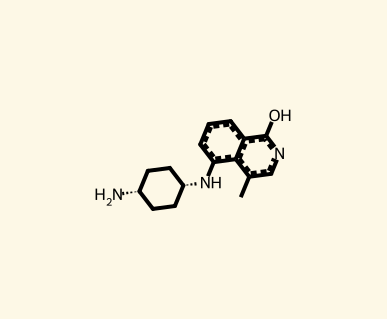 Cc1cnc(O)c2cccc(N[C@H]3CC[C@@H](N)CC3)c12